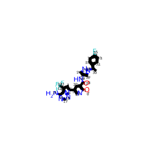 COc1ncc(-c2cc(C(F)(F)F)c3c(N)ncnn23)cc1C(=O)Nc1cnn(C(C)c2ccc(F)cc2)c1